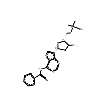 CC(C)(C)[Si](C)(C)OC[C@H]1O[C@@H](n2cnc3c(NC(=O)c4ccccc4)ncnc32)CC1N